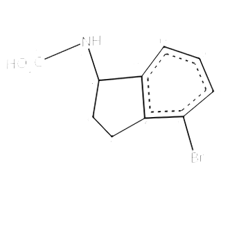 O=C(O)NC1CCc2c(Br)cccc21